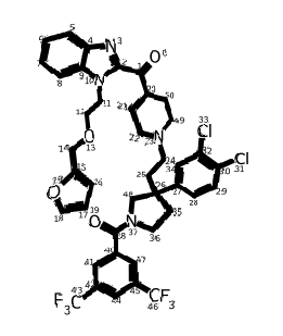 O=C(c1nc2ccccc2n1CCOCc1ccco1)C1CCN(CCC2(c3ccc(Cl)c(Cl)c3)CCN(C(=O)c3cc(C(F)(F)F)cc(C(F)(F)F)c3)C2)CC1